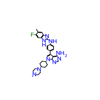 Cc1cc2nc(Nc3ccc(-c4cn([C@H]5CC[C@H](N6CCN(C)CC6)CC5)c5ncnc(N)c45)cc3)[nH]c2cc1F